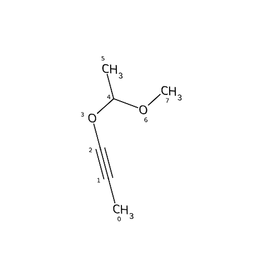 CC#COC(C)OC